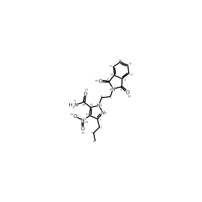 CCCc1nn(CCN2C(=O)c3ccccc3C2=O)c(C(N)=O)c1[N+](=O)[O-]